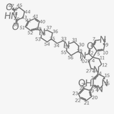 CN(C(=O)C1(c2ccncc2)CCN(c2cnnc(-c3ccccc3O)c2)CC1)C1CCN(CCC2CCN(c3ccc([C@H]4CCC(=O)NC4=O)cc3)CC2)CC1